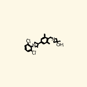 Cc1cc(C2CN(c3c(Cl)cccc3Cl)C2)cc(C)c1CN1CC(C)(O)C1